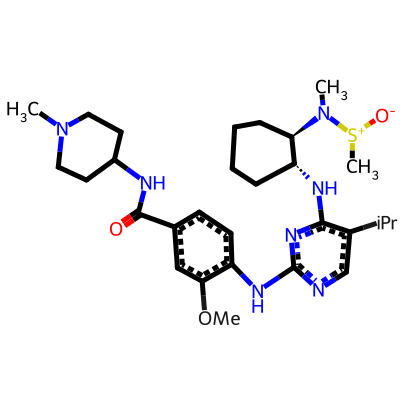 COc1cc(C(=O)NC2CCN(C)CC2)ccc1Nc1ncc(C(C)C)c(N[C@@H]2CCCC[C@H]2N(C)[S+](C)[O-])n1